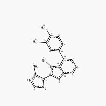 CCn1c(-n2ncnc2N)nc2cncc(-c3ccc(C)c(C)c3)c21